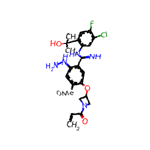 C=CC(=O)N1CC(Oc2cc(C(=N)Nc3cc(Cl)c(F)cc3C(C)(C)O)c(NN)cc2OC)C1